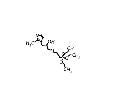 CCO[Si](CCCOCC(O)Cn1ccnc1C)(OCC)OCC